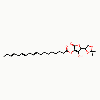 CCC=CCC=CCC=CCCCCCCCC(=O)OC1=C(O)C(C2COC(C)(C)O2)OC1=O